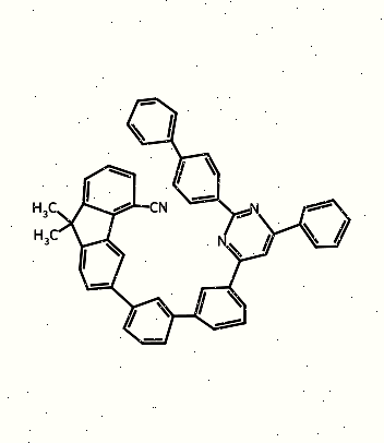 CC1(C)c2ccc(-c3cccc(-c4cccc(-c5cc(-c6ccccc6)nc(-c6ccc(-c7ccccc7)cc6)n5)c4)c3)cc2-c2c(C#N)cccc21